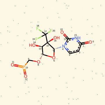 O=c1ccn([C@@H]2O[C@H](OCP(=O)=O)[C@@H](O)[C@]2(O)C(F)(F)F)c(=O)[nH]1